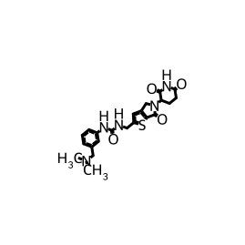 CN(C)Cc1cccc(NC(=O)NCc2cc3c(s2)C(=O)N(C2CCC(=O)NC2=O)C3)c1